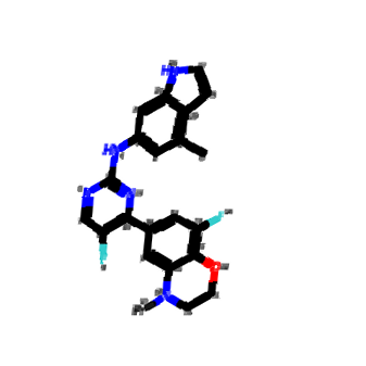 Cc1cc(Nc2ncc(F)c(-c3cc(F)c4c(c3)N(C(C)C)CCO4)n2)cc2[nH]ccc12